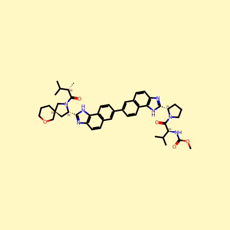 COC(=O)N[C@H](C(=O)N1CCC[C@H]1c1nc2ccc3cc(-c4ccc5c(ccc6nc([C@@H]7C[C@@]8(CCCOC8)CN7C(=O)[C@@H](C)C(C)C)[nH]c65)c4)ccc3c2[nH]1)C(C)C